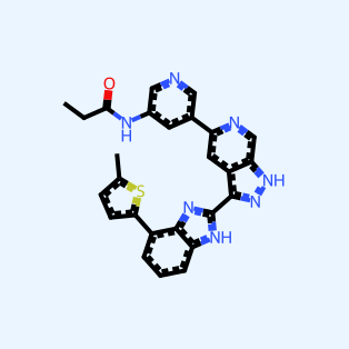 CCC(=O)Nc1cncc(-c2cc3c(-c4nc5c(-c6ccc(C)s6)cccc5[nH]4)n[nH]c3cn2)c1